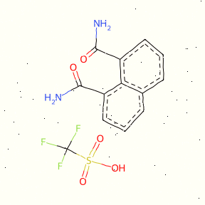 NC(=O)c1cccc2cccc(C(N)=O)c12.O=S(=O)(O)C(F)(F)F